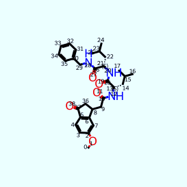 COc1ccc2c(c1)C(CC(=O)N[C@@H](CC(C)C)C(=O)N[C@@H](CC(C)C)C(=O)NCc1ccccc1)CC2=O